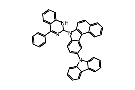 c1ccc(C2=NC(n3c4ccc(-n5c6ccccc6c6ccccc65)cc4c4c5ccccc5ccc43)Nc3ccccc32)cc1